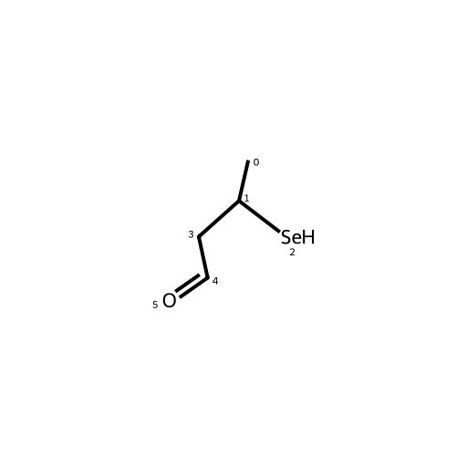 CC([SeH])CC=O